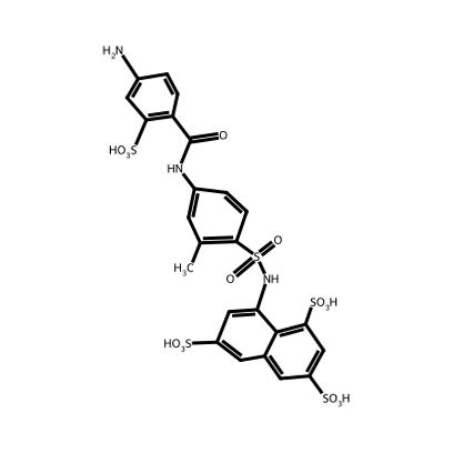 Cc1cc(NC(=O)c2ccc(N)cc2S(=O)(=O)O)ccc1S(=O)(=O)Nc1cc(S(=O)(=O)O)cc2cc(S(=O)(=O)O)cc(S(=O)(=O)O)c12